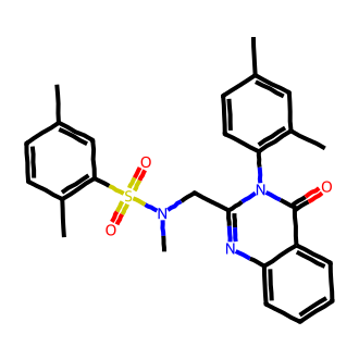 Cc1ccc(-n2c(CN(C)S(=O)(=O)c3cc(C)ccc3C)nc3ccccc3c2=O)c(C)c1